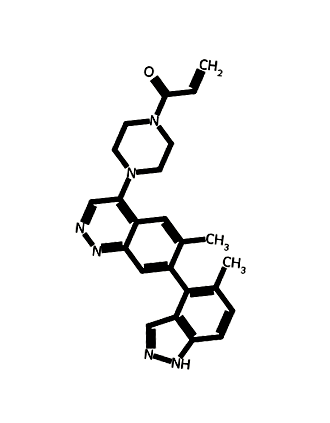 C=CC(=O)N1CCN(c2cnnc3cc(-c4c(C)ccc5[nH]ncc45)c(C)cc23)CC1